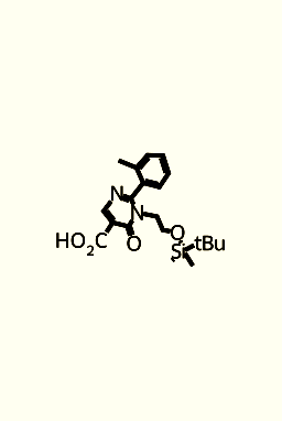 Cc1ccccc1-c1ncc(C(=O)O)c(=O)n1CCO[Si](C)(C)C(C)(C)C